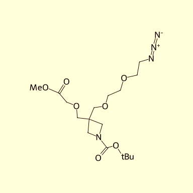 COC(=O)COCC1(COCCOCCN=[N+]=[N-])CN(C(=O)OC(C)(C)C)C1